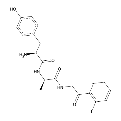 C[C@@H](NC(=O)[C@@H](N)Cc1ccc(O)cc1)C(=O)NCC(=O)C1=C(I)C=CC[CH]1